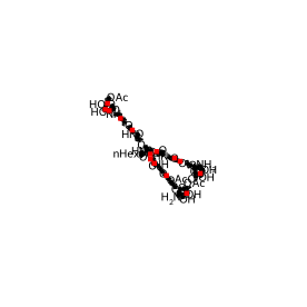 CCCCCCC(=O)NC(COCCC(=O)NCCOCCCCCOC1OC(COC(C)=O)C(O)C(O)C1N)(COCCC(=O)NCCOCCOCCOC1OC(COC(C)=O)C(O)C(O)C1N)COCCC(=O)NCCOCCOCCOC1OC(COC(C)=O)C(O)C(O)C1N